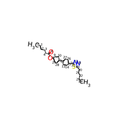 CC=CCCC(=O)Oc1ccc(-c2ccc(-c3nnc(CCCCC)s3)cc2)cc1